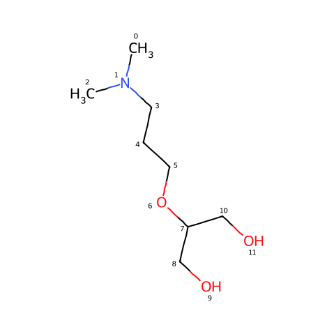 CN(C)CCCOC(CO)CO